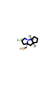 F[C@@H]1CN2[C@@H]3CCC[C@@H]3C[C@@]2(CS)C1